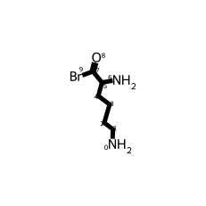 NCCCCC(N)C(=O)Br